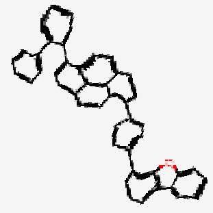 c1ccc(-c2ccccc2-c2ccc3ccc4c(-c5ccc(-c6cccc7c6oc6ccccc67)cc5)ccc5ccc2c3c54)cc1